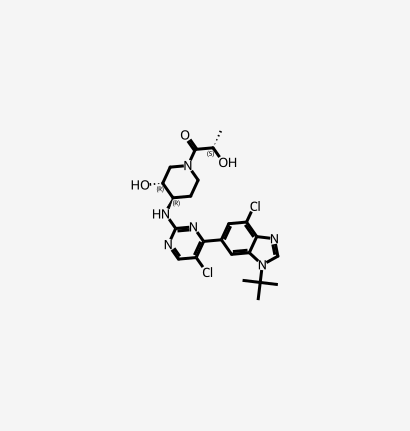 C[C@H](O)C(=O)N1CC[C@@H](Nc2ncc(Cl)c(-c3cc(Cl)c4ncn(C(C)(C)C)c4c3)n2)[C@H](O)C1